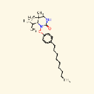 CCCCCCCCCc1ccc(ON2C(=O)NCC(C)(C)C2C(C)C)cc1